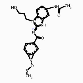 CSON1c2ccc(C(=O)/N=c3\[nH]c4cc(NC(C)=O)ccc4n3CCCO)cc21